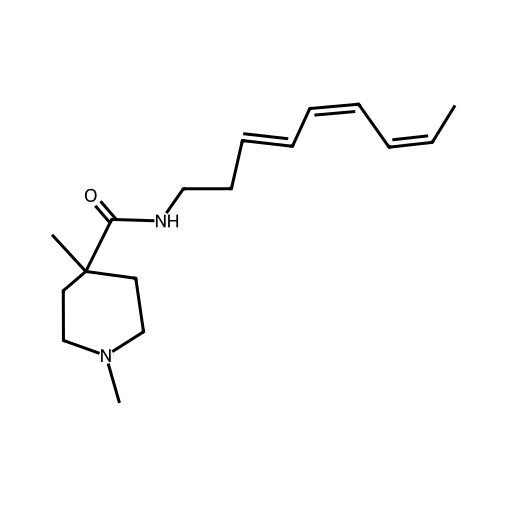 C\C=C/C=C\C=C\CCNC(=O)C1(C)CCN(C)CC1